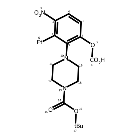 CCc1c([N+](=O)[O-])ccc(OC(=O)O)c1N1CCN(C(=O)OC(C)(C)C)CC1